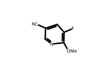 COc1ncc(C#N)cc1F